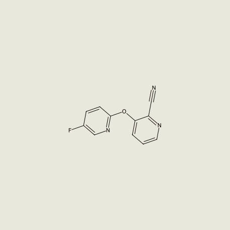 N#Cc1ncccc1Oc1ccc(F)cn1